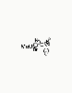 COc1cc2nccc(Oc3cn(C4CC4)nc3C3CCOCC3)c2cc1Br